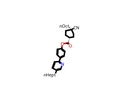 CCCCCCCC[C@]1(C#N)CC[C@H](C(=O)Oc2ccc(-c3ccc(CCCCCCC)cn3)cc2)CC1